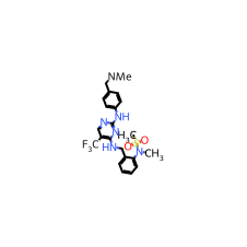 CNCc1ccc(Nc2ncc(C(F)(F)F)c(NCc3ccccc3N(C)S(C)(=O)=O)n2)cc1